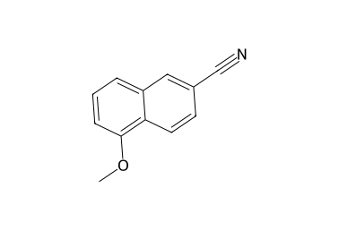 COc1cccc2cc(C#N)ccc12